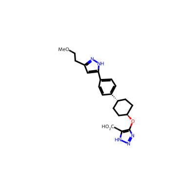 COCCc1cc(-c2ccc([C@H]3CC[C@H](Oc4nn[nH]c4C(=O)O)CC3)cc2)[nH]n1